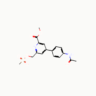 COC(=O)c1cc(-c2ccc(NC(C)=O)cc2)cc(COS(C)(=O)=O)n1